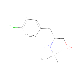 CC(C)(C)[Si](C)(C)NC(CO)Cc1ccc(Cl)cc1